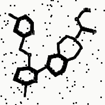 Cc1ccnc(COc2ccc(C)nc2-c2ccc3c(c2)CCN(C(=O)OC(C)(C)C)CC3)c1